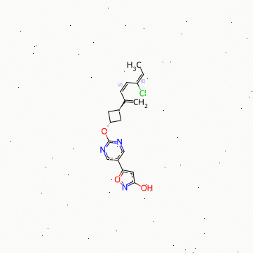 C=C(/C=C\C(Cl)=C/C)[C@H]1C[C@H](Oc2ncc(-c3cc(O)no3)cn2)C1